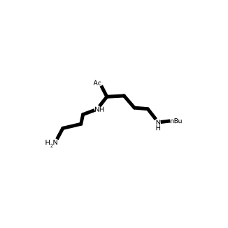 CCCCNCCCC(NCCCN)C(C)=O